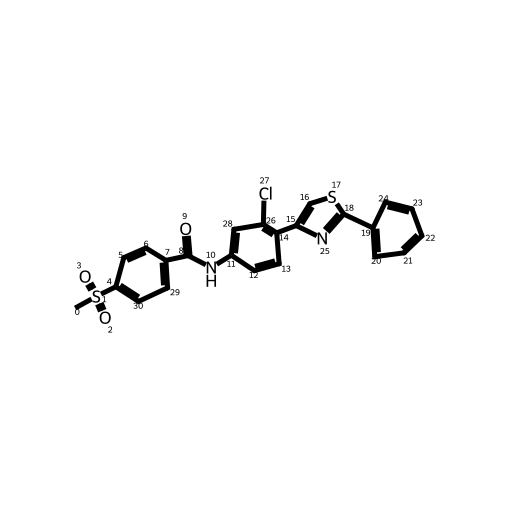 CS(=O)(=O)c1ccc(C(=O)Nc2ccc(-c3csc(-c4ccccc4)n3)c(Cl)c2)cc1